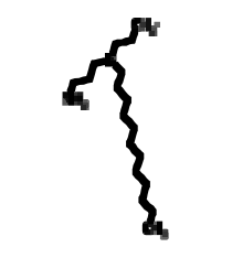 [CH2]CCN(CCCN)CCCCCCCCCCCC